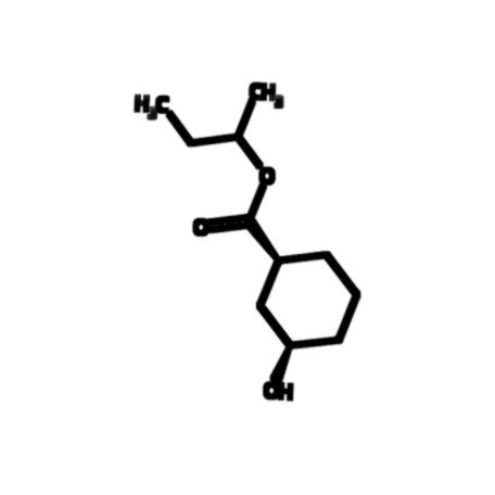 CCC(C)OC(=O)[C@H]1CCC[C@@H](O)C1